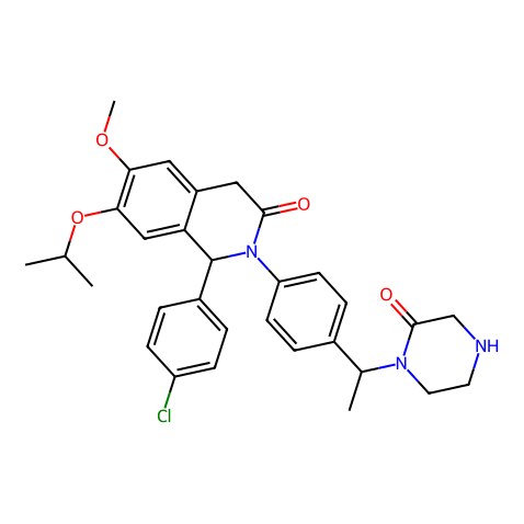 COc1cc2c(cc1OC(C)C)C(c1ccc(Cl)cc1)N(c1ccc(C(C)N3CCNCC3=O)cc1)C(=O)C2